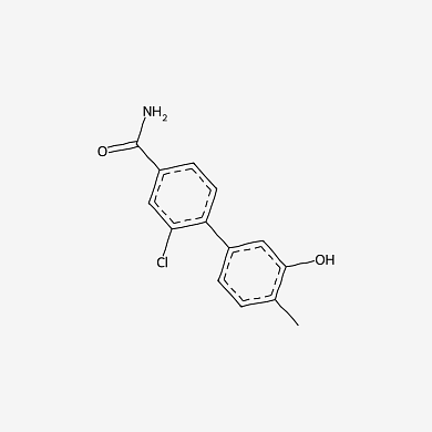 Cc1ccc(-c2ccc(C(N)=O)cc2Cl)cc1O